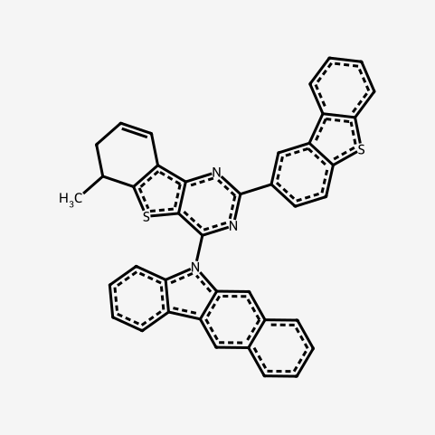 CC1CC=Cc2c1sc1c(-n3c4ccccc4c4cc5ccccc5cc43)nc(-c3ccc4sc5ccccc5c4c3)nc21